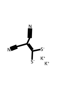 N#CC(C#N)=C([S-])[S-].[K+].[K+]